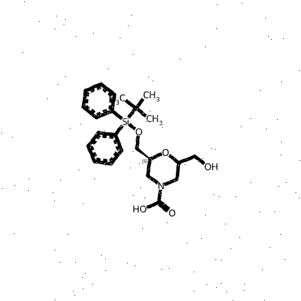 CC(C)(C)[Si](OC[C@@H]1CN(C(=O)O)CC(CO)O1)(c1ccccc1)c1ccccc1